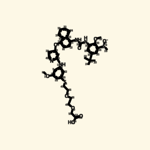 COc1cc(Nc2cc(Oc3ccc(NC(=O)Nc4cc(C(C)(C)C)cc([S+](C)[O-])c4OC)c4ccccc34)ccn2)cc(SCCOCCOCC(=O)O)c1